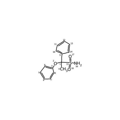 CC(Oc1ccccc1)(c1ccccc1)S(N)(=O)=O